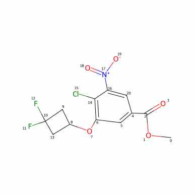 COC(=O)c1cc(OC2CC(F)(F)C2)c(Cl)c([N+](=O)[O-])c1